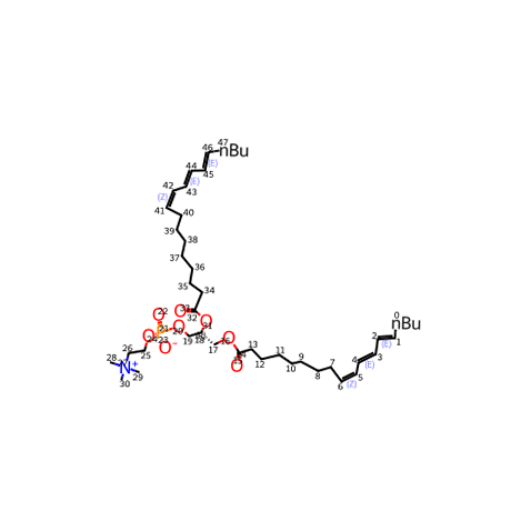 CCCC/C=C/C=C/C=C\CCCCCCCC(=O)OC[C@H](COP(=O)([O-])OCC[N+](C)(C)C)OC(=O)CCCCCCC\C=C/C=C/C=C/CCCC